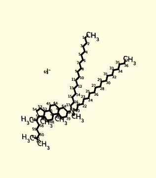 CCCCCCCCCCCCCCCCCC[N+](C)(CCCCCCCCCCCCCCCCCC)C1CC[C@@]2(C)C(CCC3C2CC[C@@]2(C)C3CC[C@@H]2[C@H](C)CCCC(C)C)C1.[I-]